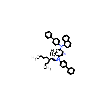 C=CCCC(/C=C/N(C(=C)/C=C\C(=C)N(C1=CCC(c2ccccc2)C=C1)C1CC=Cc2ccccc21)c1ccc(-c2ccccc2)cc1)CC=C